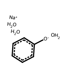 O.O.O.[Na+].[O-]c1ccccc1